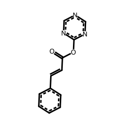 O=C(/C=C/c1ccccc1)Oc1ncncn1